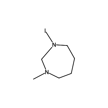 CN1CCCCN(I)C1